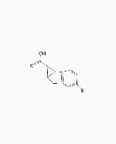 O=C(O)C1C2Cc3cc(Br)ccc3C21